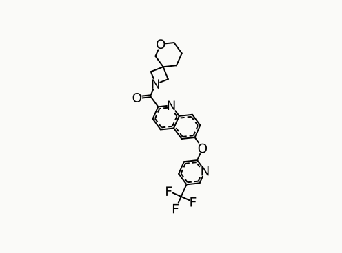 O=C(c1ccc2cc(Oc3ccc(C(F)(F)F)cn3)ccc2n1)N1CC2(CCCOC2)C1